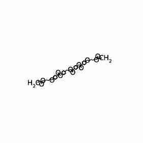 C=CC(=O)OCCCCOc1ccc(C(=O)Oc2ccc(CCOC(=O)c3ccc(OC(=O)c4ccc(OCCCCOC(=O)C=C)cc4)cc3)cc2)cc1